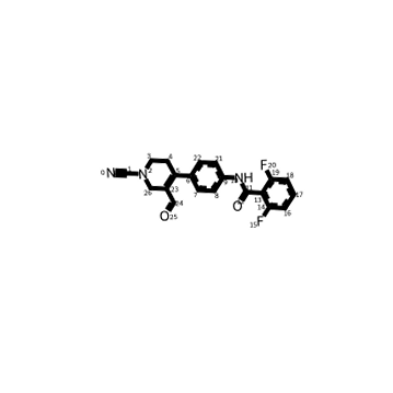 N#CN1CCC(c2ccc(NC(=O)c3c(F)cccc3F)cc2)=C(C=O)C1